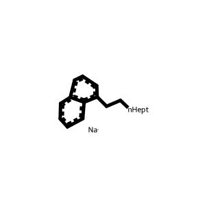 CCCCCCCCCc1cccc2ccccc12.[Na]